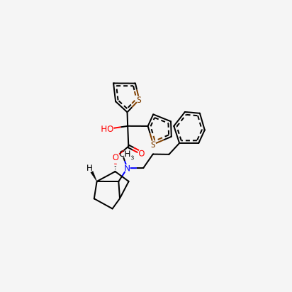 CN(CCCc1ccccc1)C1C2CC[C@@H]1[C@H](OC(=O)C(O)(c1cccs1)c1cccs1)C2